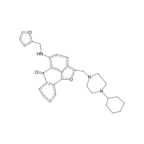 O=C1c2ccccc2-c2oc(CN3CCN(C4CCCCC4)CC3)c3ccc(NCc4ccco4)c1c23